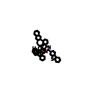 CC1C/C=C(c2ccc3oc4ccccc4c3c2C2CCc3cc4ccccc4cc3-c3ccccc32)/N=C(c2ccc3c(c2)sc2ccccc23)\N=C/1n1c2ccccc2c2ccccc21